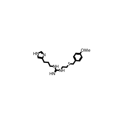 COc1ccc(CSCCNC(=N)NCCCc2c[nH]cn2)cc1